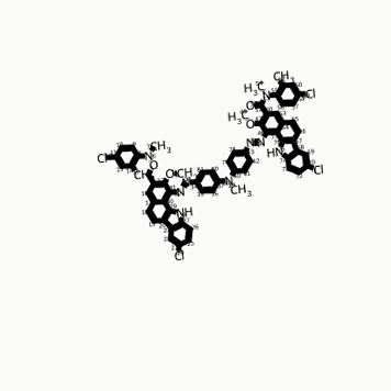 COc1c(CON(C)c2ccc(Cl)cc2C)cc2ccc3c4cc(Cl)ccc4[nH]c3c2c1N=Nc1ccc(N(C)c2ccc(N=Nc3c(OC)c(C(=O)N(C)c4ccc(Cl)cc4C)cc4ccc5c6cc(Cl)ccc6[nH]c5c34)cc2)cc1